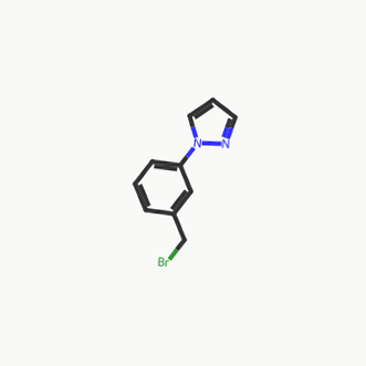 BrCc1cccc(-n2cccn2)c1